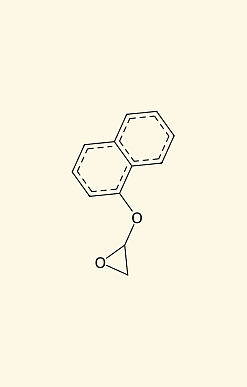 c1ccc2c(OC3CO3)cccc2c1